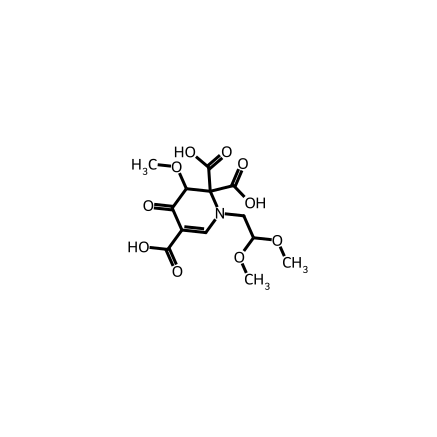 COC(CN1C=C(C(=O)O)C(=O)C(OC)C1(C(=O)O)C(=O)O)OC